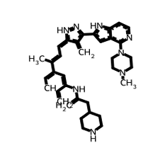 C=C\C(=C/C(=C\C)C(/C)=C/C=c1/[nH]nc(-c2cc3c(N4CCN(C)CC4)nccc3[nH]2)c1=C)NC(=C)CC1CCNCC1